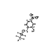 CC(C)(C)[Si](C)(C)OCc1ccc([N+](=O)[O-])cc1I